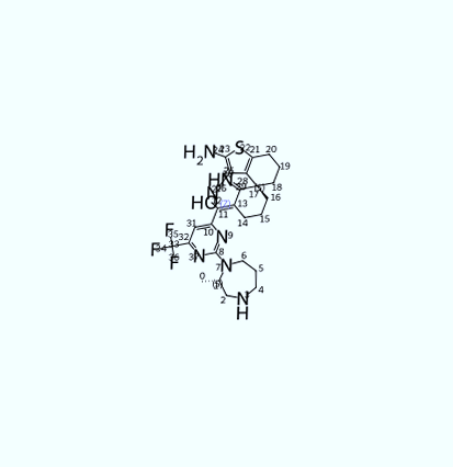 C[C@H]1CNCCCN1c1nc(/C(O)=C2\CCC[C@@]3(CCCc4sc(N)c(C#N)c43)C2=N)cc(C(F)(F)F)n1